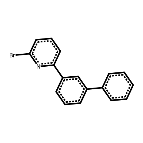 Brc1cccc(-c2cccc(-c3ccccc3)c2)n1